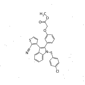 COC(=O)COc1cccc(-c2c(-c3ccsc3C#N)c3ccccc3n2Sc2ccc(Cl)cc2)c1